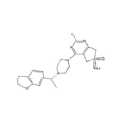 CC(c1ccc2c(c1)OCC2)N1CCN(c2nc(Cl)nc3c2CS(=N)(=O)C3)CC1